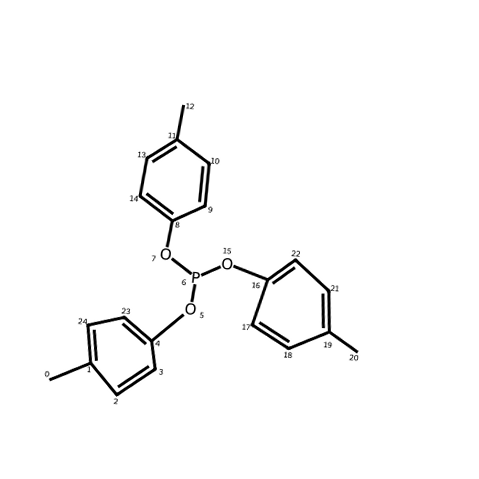 Cc1ccc(OP(Oc2ccc(C)cc2)Oc2ccc(C)cc2)cc1